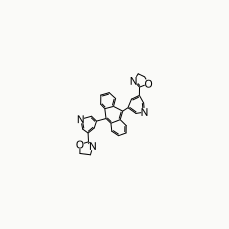 c1ccc2c(-c3cncc(C4=NCCO4)c3)c3ccccc3c(-c3cncc(C4=NCCO4)c3)c2c1